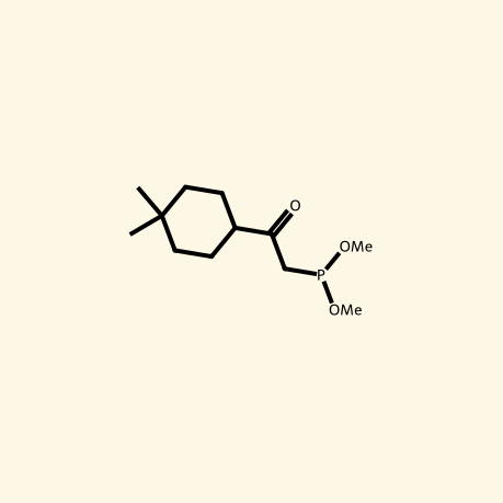 COP(CC(=O)C1CCC(C)(C)CC1)OC